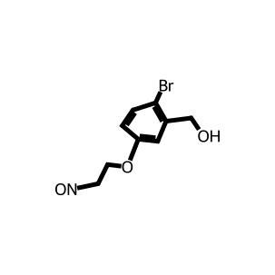 O=NCCOc1ccc(Br)c(CO)c1